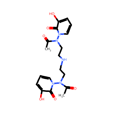 CC(=O)N(CCNCCN(C(C)=O)n1cccc(O)c1=O)n1cccc(O)c1=O